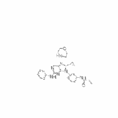 C1COCCN1.C=CC(=O)Nc1cccc(-n2c(C3CC3)nc3cnc(Nc4ccccc4)nc32)c1